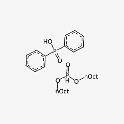 CCCCCCCCO[PH](=O)OCCCCCCCC.O=P(O)(c1ccccc1)c1ccccc1